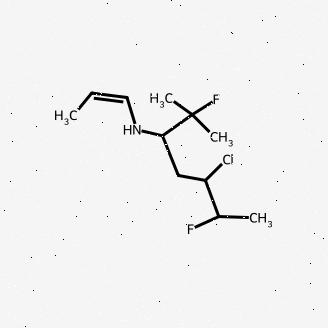 C/C=C\NC(CC(Cl)C(C)F)C(C)(C)F